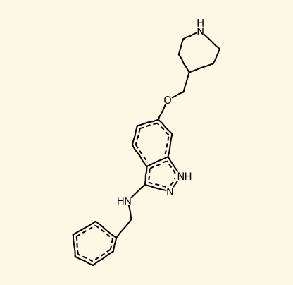 c1ccc(CNc2n[nH]c3cc(OCC4CCNCC4)ccc23)cc1